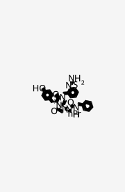 CCCN(C(=O)NCC1=CCCC=C1)N1CC(=O)N2C1CN(Cc1cccc3sc(N)nc13)C(=O)[C@@H]2Cc1ccc(O)cc1